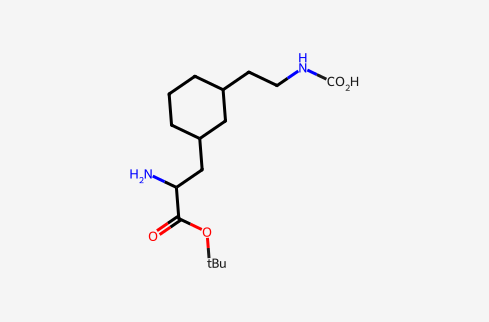 CC(C)(C)OC(=O)C(N)CC1CCCC(CCNC(=O)O)C1